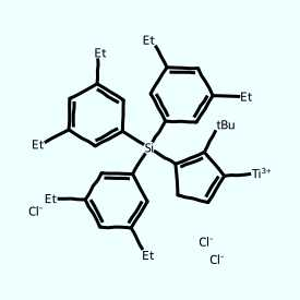 CCc1cc(CC)cc([Si](C2=C(C(C)(C)C)[C]([Ti+3])=CC2)(c2cc(CC)cc(CC)c2)c2cc(CC)cc(CC)c2)c1.[Cl-].[Cl-].[Cl-]